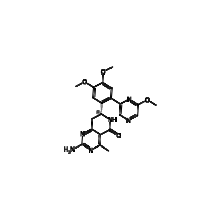 COc1cncc(-c2cc(OC)c(OC)cc2[C@H]2Cc3nc(N)nc(C)c3C(=O)N2)n1